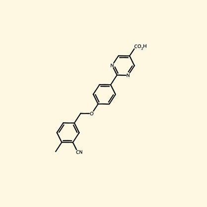 Cc1ccc(COc2ccc(-c3ncc(C(=O)O)cn3)cc2)cc1C#N